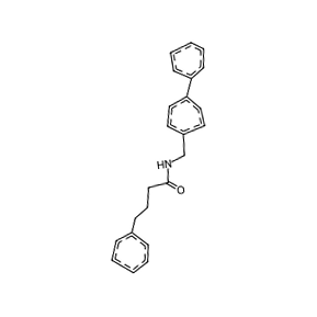 O=C(CCCc1ccccc1)NCc1ccc(-c2ccccc2)cc1